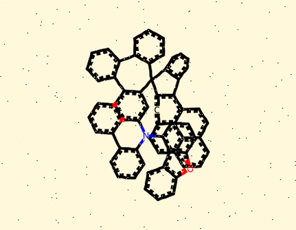 c1ccc(-c2ccccc2N(c2ccc3c(c2)C2(c4ccccc4-c4ccccc4-3)c3ccccc3-c3c2cc2ccc4cccc5ccc3c2c45)c2cccc3oc4ccccc4c23)cc1